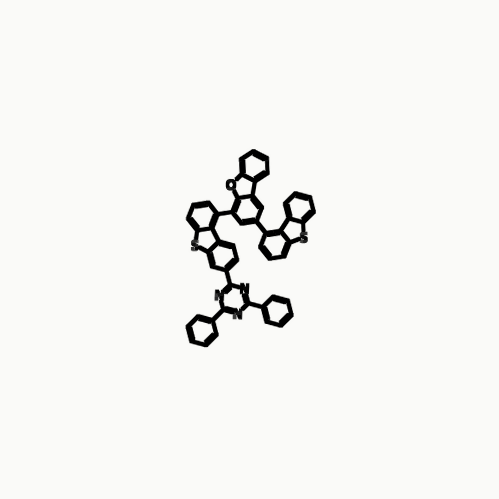 c1ccc(-c2nc(-c3ccccc3)nc(-c3ccc4c(c3)sc3cccc(-c5cc(-c6cccc7sc8ccccc8c67)cc6c5oc5ccccc56)c34)n2)cc1